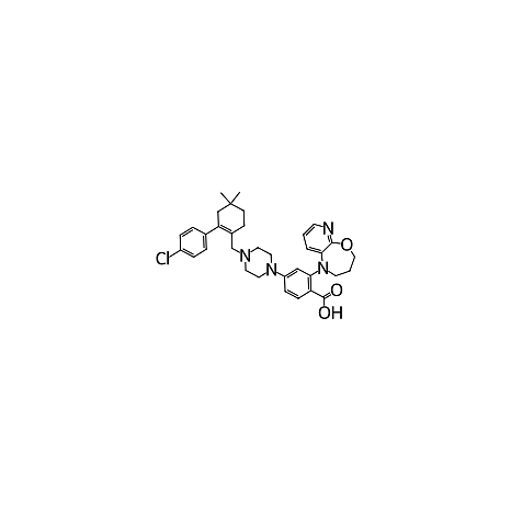 CC1(C)CCC(CN2CCN(c3ccc(C(=O)O)c(N4CCCOc5ncccc54)c3)CC2)=C(c2ccc(Cl)cc2)C1